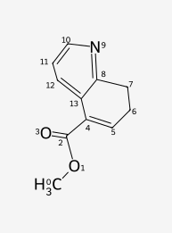 COC(=O)C1=CCCc2ncccc21